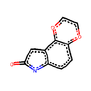 O=c1cc2c(ccc3occoc32)n1